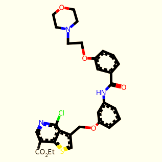 CCOC(=O)c1cnc(Cl)c2c(COc3cccc(NC(=O)c4cccc(OCCN5CCOCC5)c4)c3)csc12